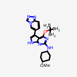 BC(B)(B)Oc1nc(N[C@H]2CC[C@@H](OC)CC2)nc2[nH]cc(-c3ccc4nncn4c3)c12